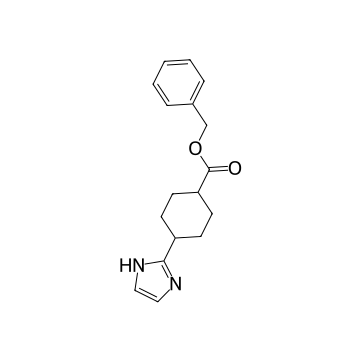 O=C(OCc1ccccc1)C1CCC(c2ncc[nH]2)CC1